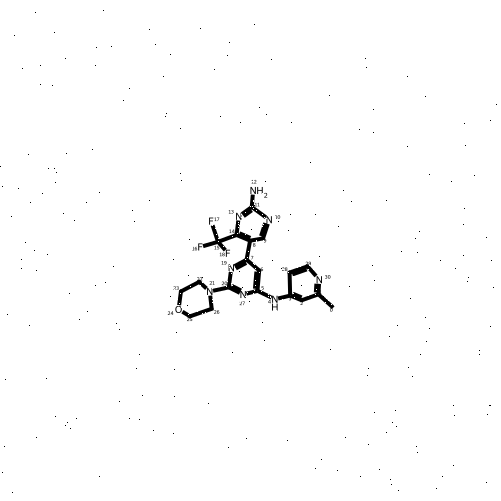 Cc1cc(Nc2cc(-c3cnc(N)nc3C(F)(F)F)nc(N3CCOCC3)n2)ccn1